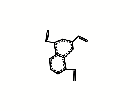 C=Cc1cc(C=C)c2cccc(C=C)c2c1